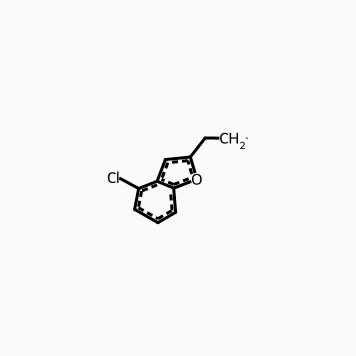 [CH2]Cc1cc2c(Cl)cccc2o1